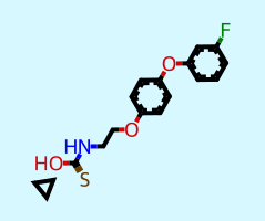 C1CC1.OC(=S)NCCOc1ccc(Oc2cccc(F)c2)cc1